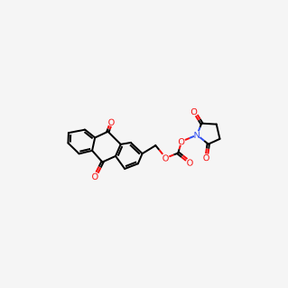 O=C(OCc1ccc2c(c1)C(=O)c1ccccc1C2=O)ON1C(=O)CCC1=O